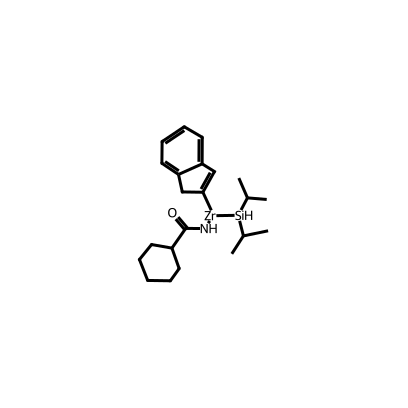 CC(C)[SiH](C(C)C)[Zr]([NH]C(=O)C1CCCCC1)[C]1=Cc2ccccc2C1